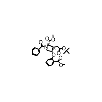 COC(=O)c1ccccc1OC1CN(C(=O)c2ccccc2)[C@H](C(=O)OC)[C@H]1CC(=O)OC(C)(C)C